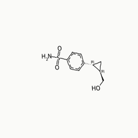 NS(=O)(=O)c1ccc([C@@H]2C[C@H]2CO)cc1